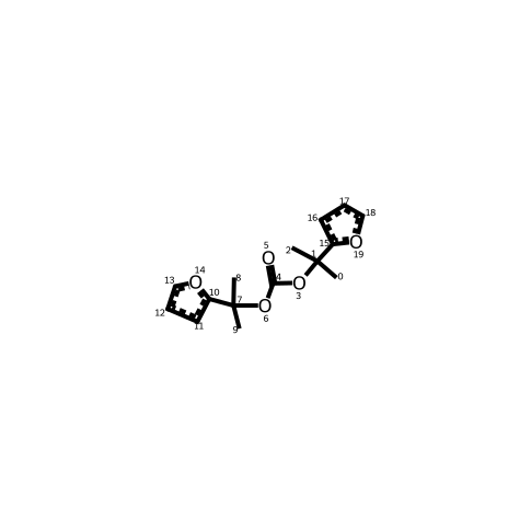 CC(C)(OC(=O)OC(C)(C)c1ccco1)c1ccco1